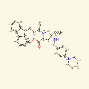 CC(C)(C)OC(=O)C1CC(NCc2ccc(N3CCOCC3)cc2)(C(=O)O)CN1C(=O)OCC1c2ccccc2-c2ccccc21